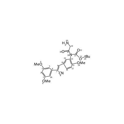 COc1cc(OC)cc(C(C#N)=Cc2ccc(OC)c(N(C(=O)CN)C(=O)OC(C)(C)C)c2)c1